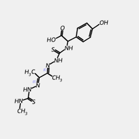 CNC(=S)N/N=C(C)/C(C)=N/NC(=S)NC(C(=O)O)c1ccc(O)cc1